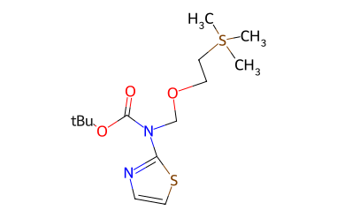 CC(C)(C)OC(=O)N(COCCS(C)(C)C)c1nccs1